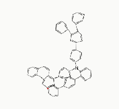 c1ccc(-c2ccc(-c3ccccc3N(c3ccc(-c4ccc(-c5ccccc5)c(-c5ccccc5)c4)cc3)c3ccc(-c4cccc5c4ccc4ccccc45)cc3)cc2)cc1